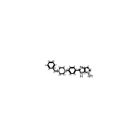 CC(C)n1ncc2nc(-c3ccc(N4CCN(Cc5ccccc5)CC4)cc3)[nH]c21